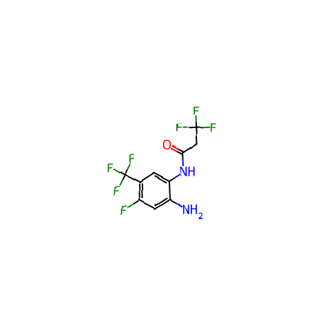 Nc1cc(F)c(C(F)(F)F)cc1NC(=O)CC(F)(F)F